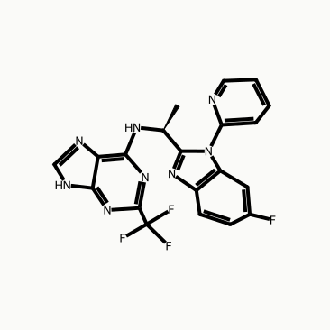 C[C@H](Nc1nc(C(F)(F)F)nc2[nH]cnc12)c1nc2ccc(F)cc2n1-c1ccccn1